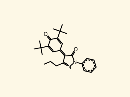 CCCC1=NN(c2ccccc2)C(=O)C1=C1C=C(C(C)(C)C)C(=O)C(C(C)(C)C)=C1